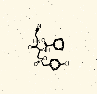 N#CCNC(=O)C(CS(=O)(=O)Cc1ccc(Cl)cc1)NC(=O)c1ccccc1